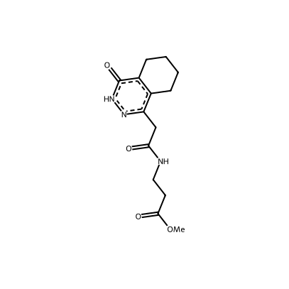 COC(=O)CCNC(=O)Cc1n[nH]c(=O)c2c1CCCC2